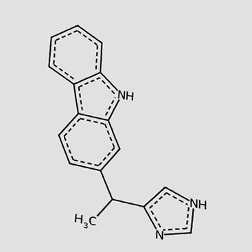 CC(c1ccc2c(c1)[nH]c1ccccc12)c1c[nH]cn1